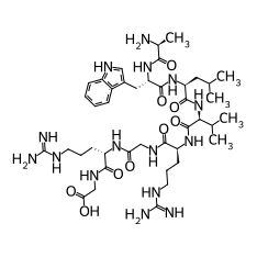 CC(C)C[C@H](NC(=O)[C@H](Cc1c[nH]c2ccccc12)NC(=O)[C@H](C)N)C(=O)N[C@H](C(=O)N[C@@H](CCCNC(=N)N)C(=O)NCC(=O)N[C@@H](CCCNC(=N)N)C(=O)NCC(=O)O)C(C)C